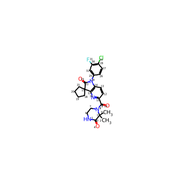 CC1(C)C(=O)NCCN1C(=O)c1ccc2c(n1)C1(CCCC1)C(=O)N2c1ccc(Cl)c(F)c1